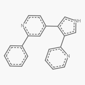 c1ccc(-c2cc(-c3c[nH]cc3-c3ccccn3)ccn2)cc1